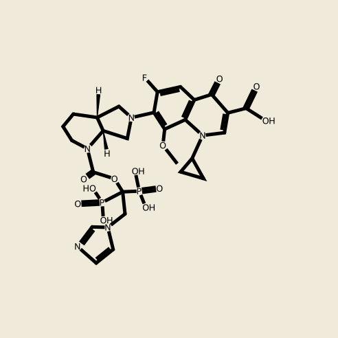 COc1c(N2C[C@H]3CCCN(C(=O)OC(Cn4ccnc4)(P(=O)(O)O)P(=O)(O)O)[C@H]3C2)c(F)cc2c(=O)c(C(=O)O)cn(C3CC3)c12